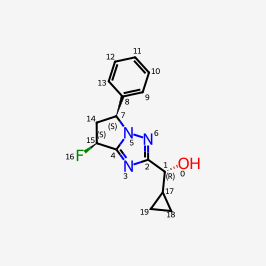 O[C@@H](c1nc2n(n1)[C@H](c1ccccc1)C[C@@H]2F)C1CC1